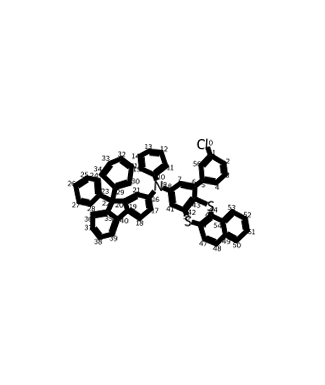 Clc1cccc(-c2cc(N(c3ccccc3)c3ccc4c(c3)C(c3ccccc3)(c3ccccc3)c3ccccc3-4)cc3c2Sc2c(ccc4ccccc24)S3)c1